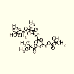 C=C(C)C(=O)OCC(COC(=O)C(=C)C)OC(=O)CCC(=O)C(C)(C)OCCC(C)(C)O